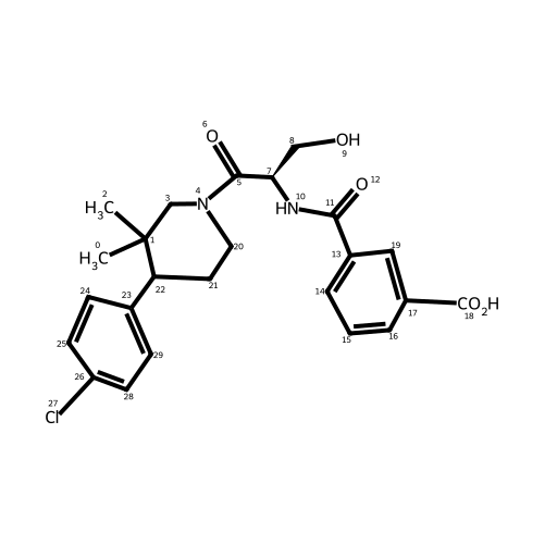 CC1(C)CN(C(=O)[C@@H](CO)NC(=O)c2cccc(C(=O)O)c2)CCC1c1ccc(Cl)cc1